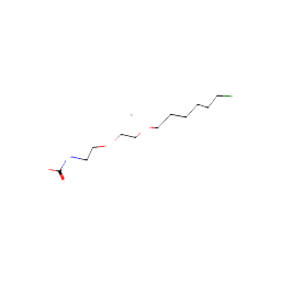 O=C([O-])NCCOCCOCCCCCCCl.[Ag+]